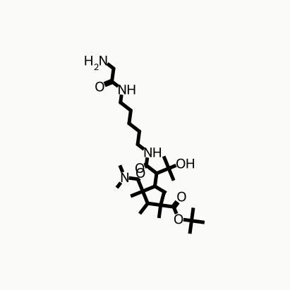 CC(C(C(=O)NCCCCCNC(=O)CN)C(C)(C)O)C(C)(C(=O)N(C)C)C(C)C(C)(C)C(=O)OC(C)(C)C